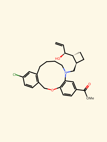 C=C[C@H](O)[C@@H]1CC[C@H]1CN1CCCCc2cc(Cl)ccc2COc2ccc(C(=O)OC)cc21